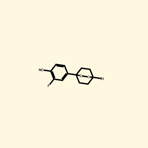 CCC12CCC(c3ccc(C#N)c(F)c3)(CC1)CC2